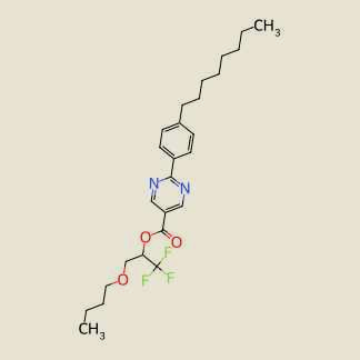 CCCCCCCCc1ccc(-c2ncc(C(=O)OC(COCCCC)C(F)(F)F)cn2)cc1